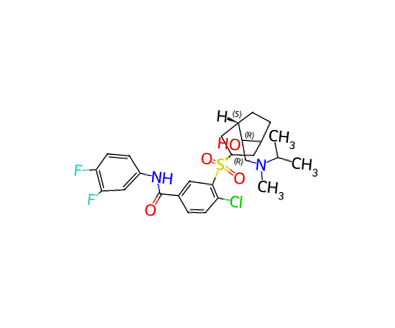 CC(C)N(C)C[C@@]1(O)C2CC[C@H]1C[C@H](S(=O)(=O)c1cc(C(=O)Nc3ccc(F)c(F)c3)ccc1Cl)C2